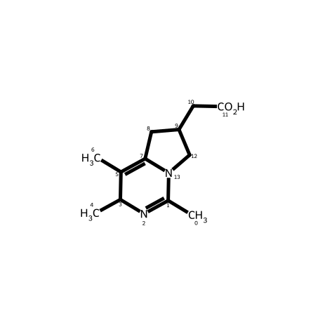 CC1=NC(C)C(C)=C2CC(CC(=O)O)CN12